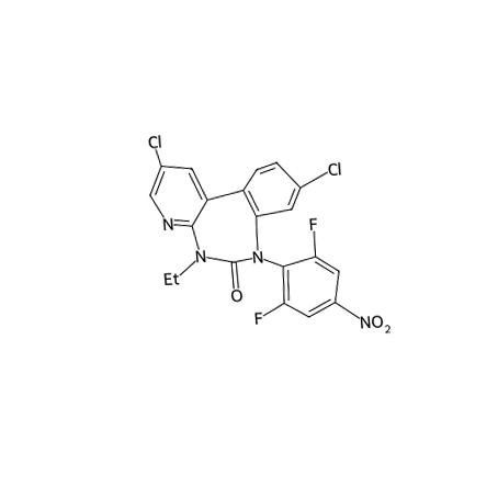 CCN1C(=O)N(c2c(F)cc([N+](=O)[O-])cc2F)c2cc(Cl)ccc2-c2cc(Cl)cnc21